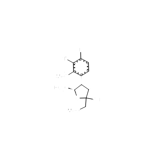 COCC1(C)C[C@@H](c2ccc(F)c(F)c2OC)[C@H](C(=O)O)O1